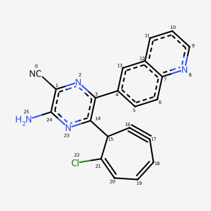 N#Cc1nc(-c2ccc3ncccc3c2)c(C2C#CC=CC=C2Cl)nc1N